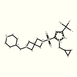 O=S(=O)(c1cc(C(F)(F)F)nn1CC1CC1)N1CC2(CN(CC3CCOCC3)C2)C1